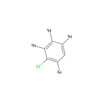 [2H]c1cc([2H])c(Cl)c([2H])c1[2H]